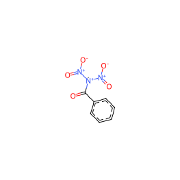 O=C(c1ccccc1)[N+]([N+](=O)[O-])[N+](=O)[O-]